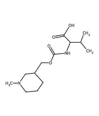 CC(C)C(NC(=O)OCC1CCCN(C)C1)C(=O)O